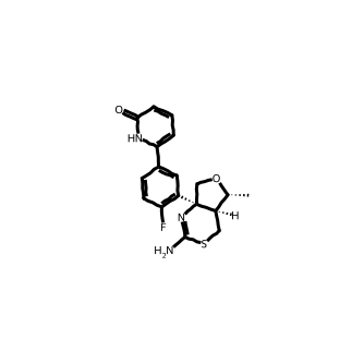 C[C@H]1OC[C@]2(c3cc(-c4cccc(=O)[nH]4)ccc3F)N=C(N)SC[C@H]12